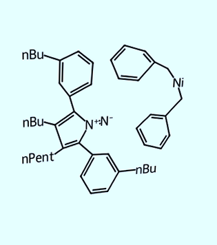 CCCCCC1=C(c2cccc(CCCC)c2)[N+](=[N-])C(c2cccc(CCCC)c2)=C1CCCC.c1ccc([CH2][Ni][CH2]c2ccccc2)cc1